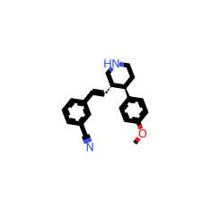 COc1ccc([C@@H]2CCNC[C@H]2/C=C/c2cccc(C#N)c2)cc1